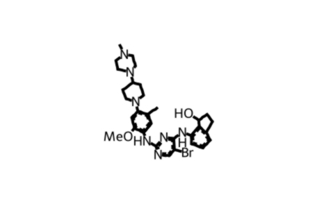 COc1cc(N2CCC(N3CCN(C)CC3)CC2)c(C)cc1Nc1ncc(Br)c(Nc2cccc3c2C(O)CC3)n1